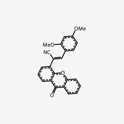 COc1ccc(C=C(C#N)c2cccc3c(=O)c4ccccc4oc23)c(OC)c1